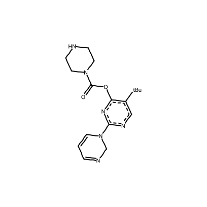 CC(C)(C)c1cnc(N2C=CC=NC2)nc1OC(=O)N1CCNCC1